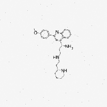 COc1ccc(-c2cc(C(N)CCNCCC3CCCCN3)c3ccccc3n2)cc1